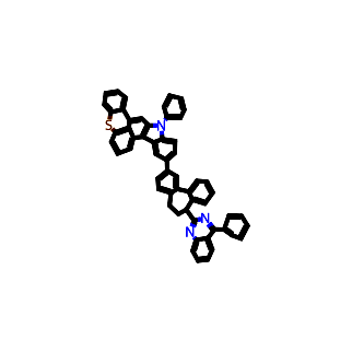 c1ccc(-c2nc(C3CCc4ccc(-c5ccc6c(c5)c5c7cccc8c7c(cc5n6-c5ccccc5)-c5ccccc5S8)cc4-c4ccccc43)nc3ccccc23)cc1